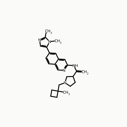 C=C(Nc1cc2cc(-c3cnc(C)n3C)ccc2cn1)C1CCN(CC2(C)CCC2)C1